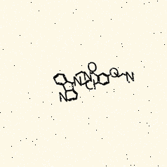 CN(C)CCOc1ccc(Cl)c(C(=O)N2CCN(C3c4ccccc4-c4ncccc43)CC2)c1